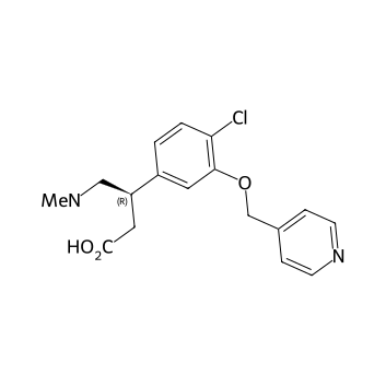 CNC[C@H](CC(=O)O)c1ccc(Cl)c(OCc2ccncc2)c1